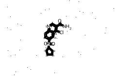 NC(=O)c1cnc2ccc(S(=O)(=O)C3CCCC3)cc2c1Cl